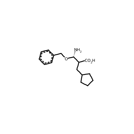 N[C@@H](OCc1ccccc1)C(CC1CCCC1)C(=O)O